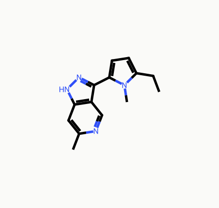 CCc1ccc(-c2n[nH]c3cc(C)ncc23)n1C